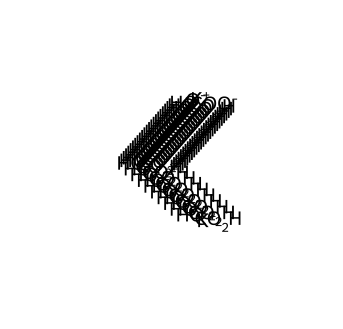 O=C(O)O.O=C(O)O.O=C(O)O.O=C(O)O.O=C(O)O.O=C(O)O.O=C(O)O.O=C(O)O.O=C(O)O.O=C(O)O.O=C(O)O.O=C(O)O.O=C(O)O.O=C(O)O.O=C(O)O.O=C(O)O.O=C(O)O.O=C(O)O.O=C(O)O.O=C(O)O.O=C(O)O.O=C(O)O.O=C(O)O.O=C(O)O.O=C(O)O.O=C(O)O.O=C(O)O.O=C(O)O.O=C(O)O.O=C(O)O.O=C(O)O.O=C(O)O.O=C(O)O.O=C([O-])[O-].[K+].[K+]